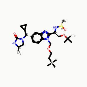 CC(C)(C)[S@@+]([O-])N[C@@H](COC(C)(C)C(F)(F)F)c1nc2cc([C@@H](C3CC3)N3C[C@@H](C(F)(F)F)NC3=O)ccc2n1COCC[Si](C)(C)C